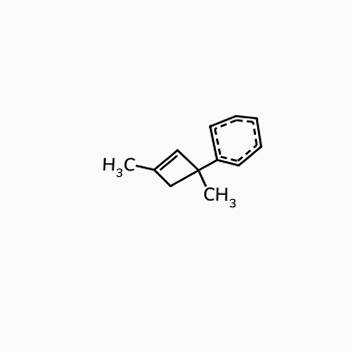 CC1=CC(C)(c2ccccc2)C1